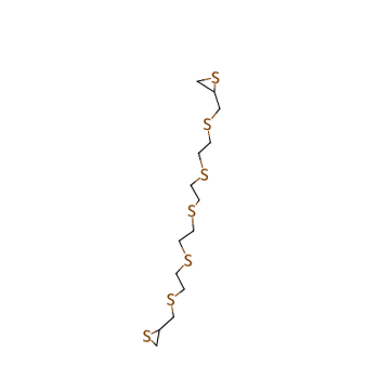 C(CSCCSCC1CS1)SCCSCCSCC1CS1